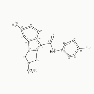 CCOC(=O)N1Cc2c(n(C(=O)Nc3ccc(F)cc3)c3ccc(C)cc23)C1